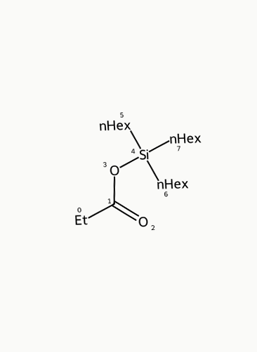 [CH2]CC(=O)O[Si](CCCCCC)(CCCCCC)CCCCCC